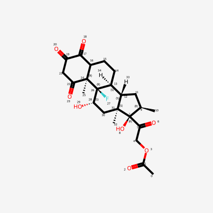 CC(=O)OCC(=O)[C@@]1(O)[C@H](C)C[C@H]2[C@@H]3CCC4C(=O)C(=O)CC(=O)[C@]4(C)[C@@]3(F)[C@@H](O)C[C@@]21C